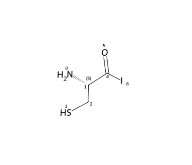 N[C@@H](CS)C(=O)I